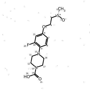 C[S@+]([O-])CCOc1ccc(N2CCN(C(=O)O)CC2)c(F)c1